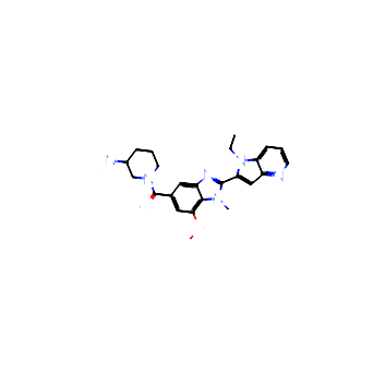 CCn1c(-c2nc3cc(C(=O)N4CCCC(N)C4)cc(OC)c3n2C)cc2ncccc21